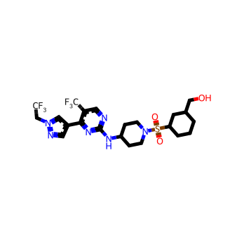 O=S(=O)(C1CCCC(CO)C1)N1CCC(Nc2ncc(C(F)(F)F)c(-c3cnn(CC(F)(F)F)c3)n2)CC1